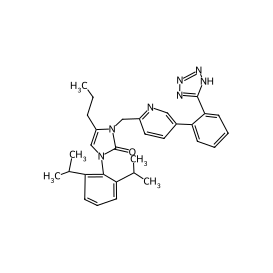 CCCc1cn(-c2c(C(C)C)cccc2C(C)C)c(=O)n1Cc1ccc(-c2ccccc2-c2nnn[nH]2)cn1